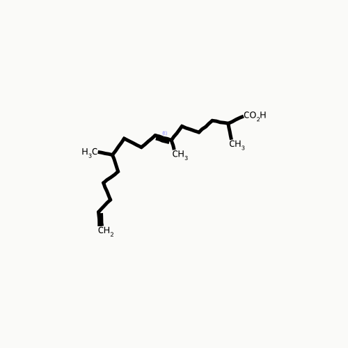 C=CCCCC(C)CC/C=C(\C)CCCC(C)C(=O)O